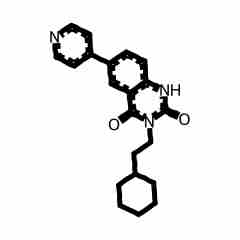 O=c1[nH]c2ccc(-c3ccncc3)cc2c(=O)n1CCC1CCCCC1